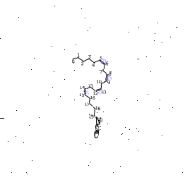 CCCCC/C=C\C/C=C\C/C=C\C/C=C\CCCCN=C=O